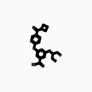 O=C(O)c1cc(Oc2cnc(C(=O)N3CCC3)cn2)cc(OC(CF)CF)c1